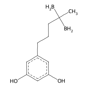 BC(B)(C)CCCc1cc(O)cc(O)c1